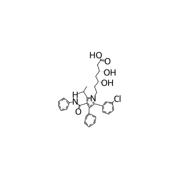 CC(C)c1c(C(=O)Nc2ccccc2)c(-c2ccccc2)c(-c2cccc(Cl)c2)n1CC[C@@H](O)C[C@@H](O)CC(=O)O